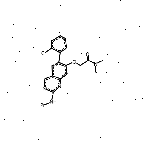 CC(C)Nc1ncc2cc(-c3ccccc3Cl)c(OCC(=O)N(C)C)cc2n1